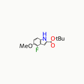 COc1ccc2[nH]c(C(=O)OC(C)(C)C)cc2c1F